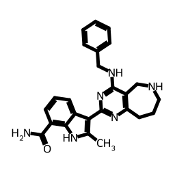 Cc1[nH]c2c(C(N)=O)cccc2c1-c1nc2c(c(NCc3ccccc3)n1)CNCCC2